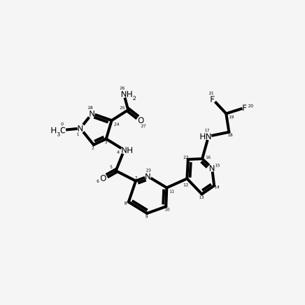 Cn1cc(NC(=O)c2cccc(-c3ccnc(NCC(F)F)c3)n2)c(C(N)=O)n1